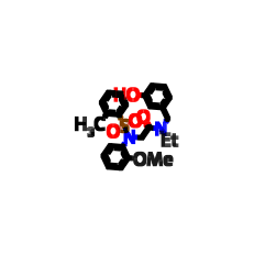 CCN(Cc1cccc(O)c1)C(=O)CN(c1ccccc1OC)S(=O)(=O)c1ccccc1C